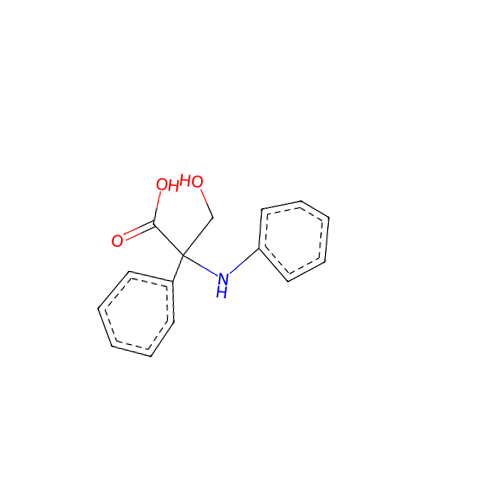 O=C(O)C(CO)(Nc1ccccc1)c1ccccc1